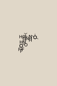 Cc1ccc(CNC[C@H](NC(=O)CNC(=O)c2cccc(C(F)(F)F)c2)[C@@H](O)C(C)C)c(C)c1